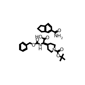 CC(C)(C)OC(=O)N1CCC(=C(NC(=O)OCc2ccccc2)C(=O)O)CC1.NC(=O)c1ccc2c(c1)CCC2